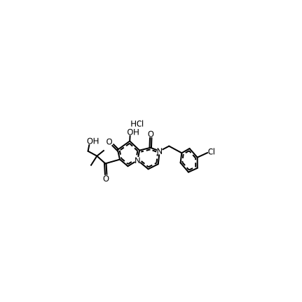 CC(C)(CO)C(=O)c1cn2ccn(Cc3cccc(Cl)c3)c(=O)c2c(O)c1=O.Cl